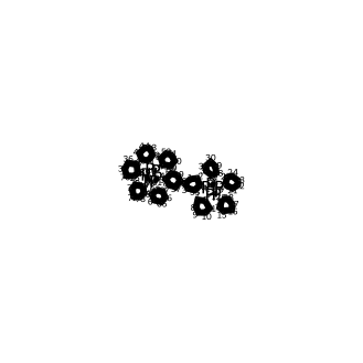 c1ccc(-p2p(-c3ccccc3)p(-c3ccccc3)p(-c3ccccc3)p2-c2ccccc2)cc1.c1ccc(P2P(c3ccccc3)P(c3ccccc3)P(c3ccccc3)P(c3ccccc3)P2c2ccccc2)cc1